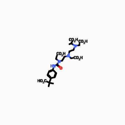 CC(C(=O)O)N(CCN(CCN(CC(=O)O)C(=O)Nc1ccc(C(C)(C)C(=O)O)cc1)CC(=O)O)CC(=O)O